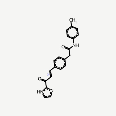 Cc1ccc(NC(=O)Cc2ccc(/C=C/C(=O)c3ncc[nH]3)cc2)cc1